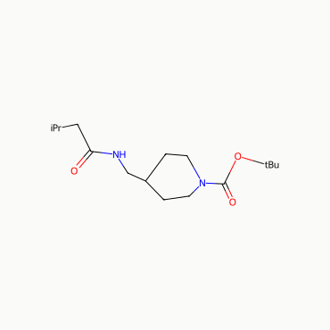 CC(C)CC(=O)NCC1CCN(C(=O)OC(C)(C)C)CC1